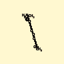 COC(=O)CCCCCOCCOCCOCCCCCCOc1ccc(F)c([C@H](C)N)c1